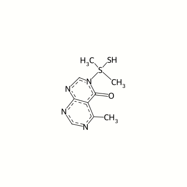 Cc1ncnc2ncn(S(C)(C)S)c(=O)c12